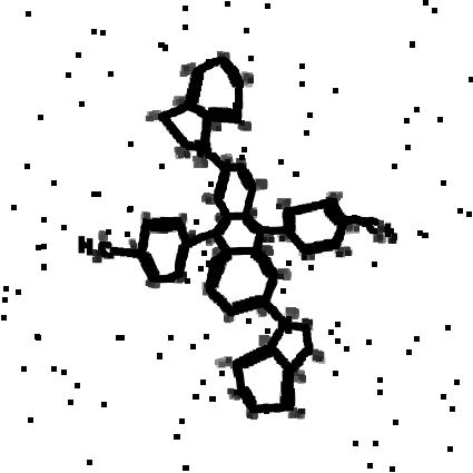 Cc1ccc(-c2c3ccc(N4CCc5ccccc54)cc3c(-c3ccc(C)cc3)c3ccc(N4CCc5ccccc54)cc23)cc1